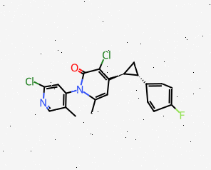 Cc1cnc(Cl)cc1-n1c(C)cc([C@H]2C[C@@H]2c2ccc(F)cc2)c(Cl)c1=O